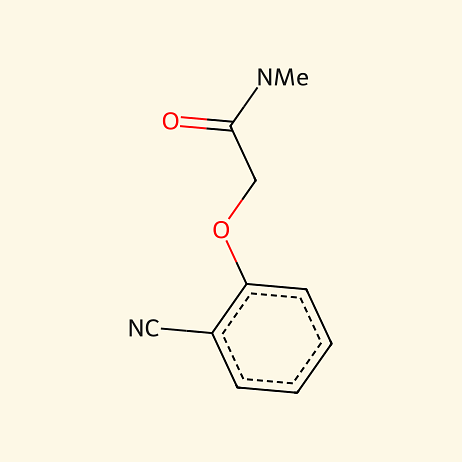 CNC(=O)COc1ccccc1C#N